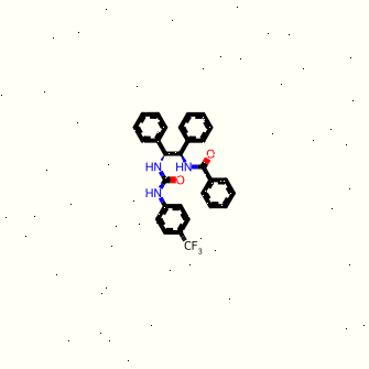 O=C(Nc1ccc(C(F)(F)F)cc1)N[C@H](c1ccccc1)[C@H](NC(=O)c1ccccc1)c1ccccc1